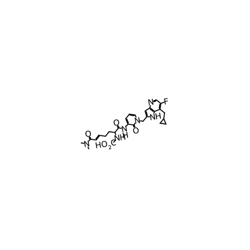 CN(C)C(=O)C=CCCC(NC(=O)O)C(=O)Nc1cccn(Cc2cc3ncc(F)c(CC4CC4)c3[nH]2)c1=O